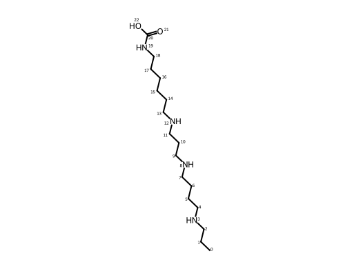 CCCNCCCCNCCCNCCCCCCNC(=O)O